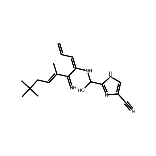 C=C/C=C(/NC(O)c1nc(C#N)c[nH]1)C(=N)/C(C)=C/CC(C)(C)C